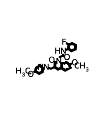 COc1ccc(NCc2cc3ccc(OC)cc3n(CC(=O)Nc3ccccc3F)c2=O)cc1